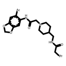 CC(=O)c1cc2c(cc1NC(=O)CN1CCC(CNC(=O)CC(C)C)CC1)OCO2